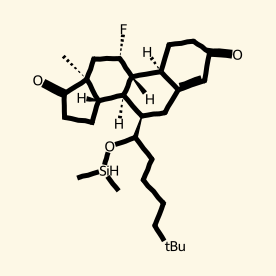 C[SiH](C)OC(CCCCC(C)(C)C)[C@@H]1CC2=CC(=O)CC[C@@H]2[C@@H]2[C@@H]1[C@@H]1CCC(=O)[C@@]1(C)C[C@@H]2F